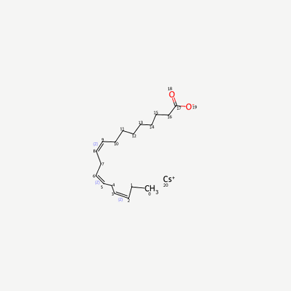 CC/C=C\C/C=C\C/C=C\CCCCCCCC(=O)[O-].[Cs+]